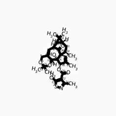 CC1=C[C@]23C(=O)[C@@H](C=C4COC(C)(C)O[C@H]4[C@]2(O)[C@H]1OC(=O)c1c(C)nsc1C)[C@H]1[C@@H](C[C@H]3C)C1(C)C